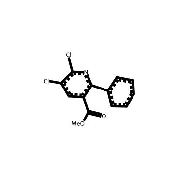 COC(=O)c1cc(Cl)c(Cl)nc1-c1ccccc1